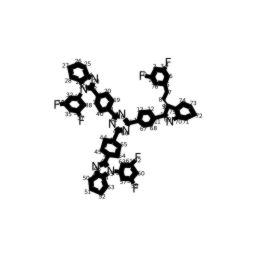 Fc1cc(F)cc(CC[C@@H]2C(c3ccc(-c4nc(-c5ccc(-c6nc7ccccc7n6-c6cc(F)cc(F)c6)cc5)nc(-c5ccc(-c6nc7ccccc7n6-c6cc(F)cc(F)c6)cc5)n4)cc3)=Nc3ccccc32)c1